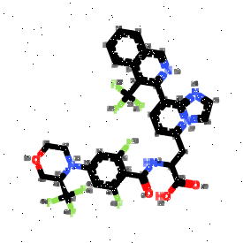 O=C(NC(Cc1ccc(-c2ncc3ccccc3c2C(F)(F)F)c2nccn12)C(=O)O)c1c(F)cc(N2CCOC[C@@H]2C(F)(F)F)cc1F